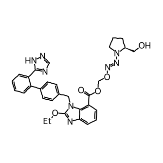 CCOc1nc2cccc(C(=O)OCO/N=N/N3CCC[C@H]3CO)c2n1Cc1ccc(-c2ccccc2-c2ncn[nH]2)cc1